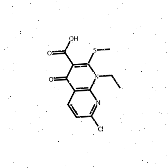 CCn1c(SC)c(C(=O)O)c(=O)c2ccc(Cl)nc21